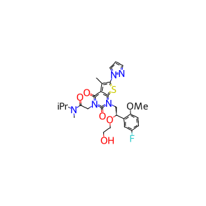 COc1ccc(F)cc1[C@H](Cn1c(=O)n(CC(=O)N(C)C(C)C)c(=O)c2c(C)c(-n3cccn3)sc21)OCCO